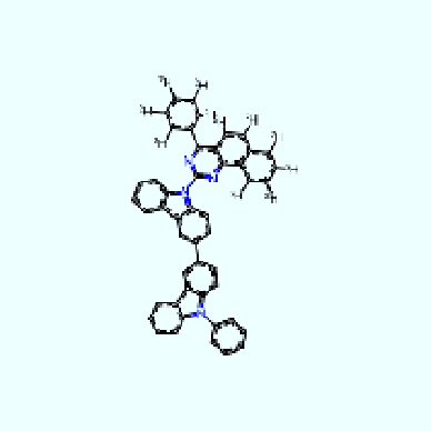 [2H]c1c([2H])c([2H])c(-c2nc(-n3c4ccccc4c4cc(-c5ccc6c(c5)c5ccccc5n6-c5ccccc5)ccc43)nc3c2c([2H])c([2H])c2c([2H])c([2H])c([2H])c([2H])c23)c([2H])c1[2H]